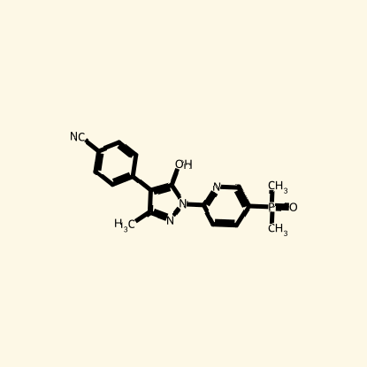 Cc1nn(-c2ccc(P(C)(C)=O)cn2)c(O)c1-c1ccc(C#N)cc1